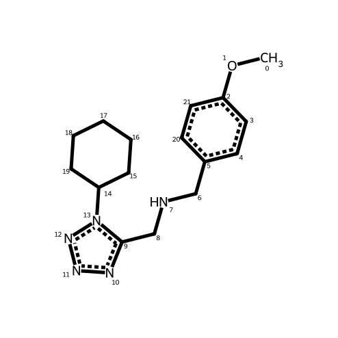 COc1ccc(CNCc2nnnn2C2CCCCC2)cc1